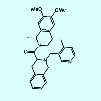 COc1cc2c(cc1OC)[C@@H](C)N(C(=O)C1Cc3ccccc3CN1Cc1cnccc1C)CC2